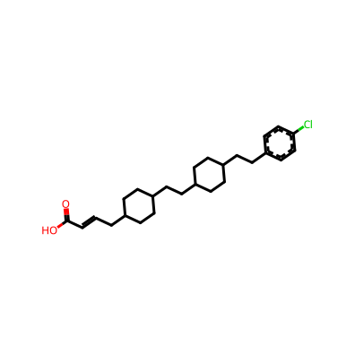 O=C(O)C=CCC1CCC(CCC2CCC(CCc3ccc(Cl)cc3)CC2)CC1